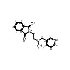 CN(CCN1C(=O)c2ccccc2C1=O)Cc1cccnc1